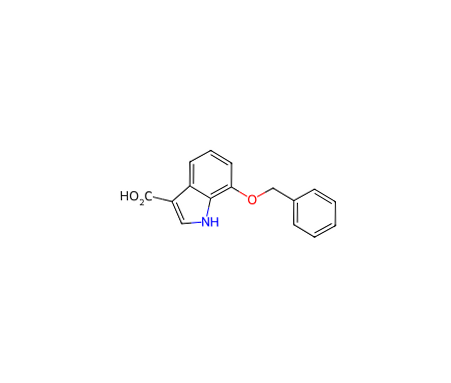 O=C(O)c1c[nH]c2c(OCc3ccccc3)cccc12